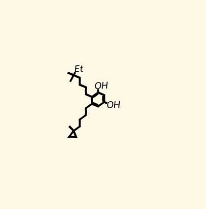 CCC(C)(C)CCCCc1c(O)cc(O)cc1CCCCC1(C)CC1